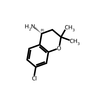 CC1(C)C[C@@H](N)c2ccc(Cl)cc2O1